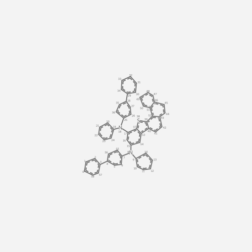 c1ccc(-c2ccc(N(c3ccccc3)c3cc(N(c4ccccc4)c4ccc(-c5ccccc5)cc4)c4sc5c(ccc6ccc7ccccc7c65)c4c3)cc2)cc1